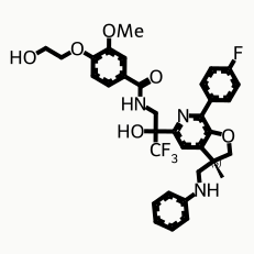 COc1cc(C(=O)NCC(O)(c2cc3c(c(-c4ccc(F)cc4)n2)OC[C@]3(C)CNc2ccccc2)C(F)(F)F)ccc1OCCO